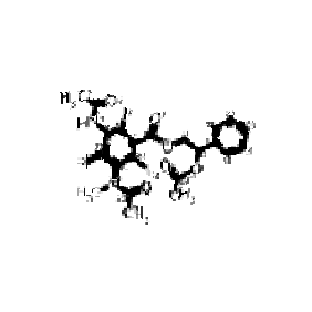 CC(=O)Nc1c(I)c(C(=O)OCC(OC(C)=O)c2ccccc2)c(I)c(N(C)C(C)=O)c1I